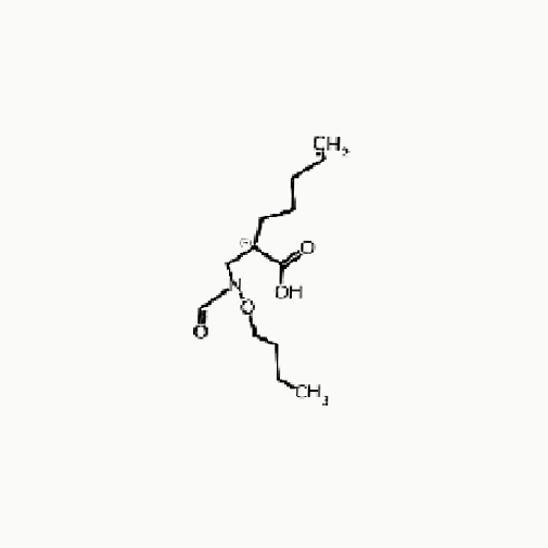 C=CCCC[C@H](CN(C=O)OCCCC)C(=O)O